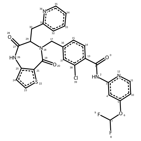 O=C(Nc1cc(OC(F)F)ccn1)c1ccc(CN2C(=O)c3sccc3NC(=O)C2Cc2ccccn2)cc1Cl